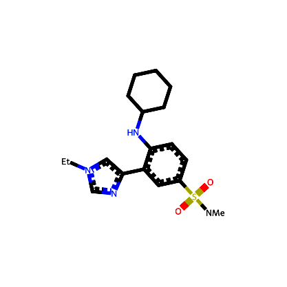 CCn1cnc(-c2cc(S(=O)(=O)NC)ccc2NC2CCCCC2)c1